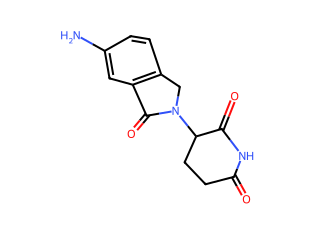 Nc1ccc2c(c1)C(=O)N(C1CCC(=O)NC1=O)C2